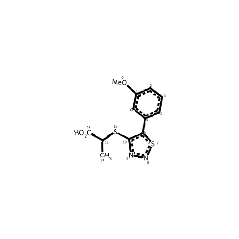 COc1cccc(-c2snnc2SC(C)C(=O)O)c1